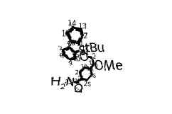 COC(CO[Si](c1ccccc1)(c1ccccc1)C(C)(C)C)C1CCC(C(N)=O)CC1